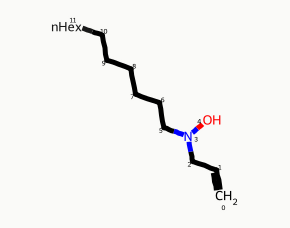 C=CCN(O)CCCCCCCCCCCC